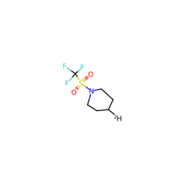 [2H]C1CCN(S(=O)(=O)C(F)(F)F)CC1